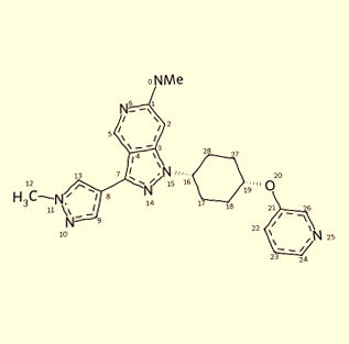 CNc1cc2c(cn1)c(-c1cnn(C)c1)nn2[C@H]1CC[C@@H](Oc2cccnc2)CC1